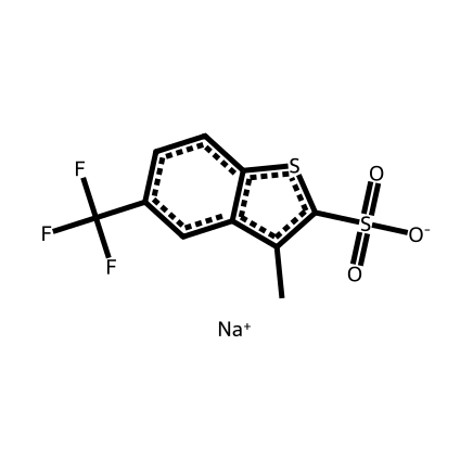 Cc1c(S(=O)(=O)[O-])sc2ccc(C(F)(F)F)cc12.[Na+]